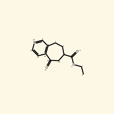 CCOC(=O)C1CCc2cnccc2C(=O)C1